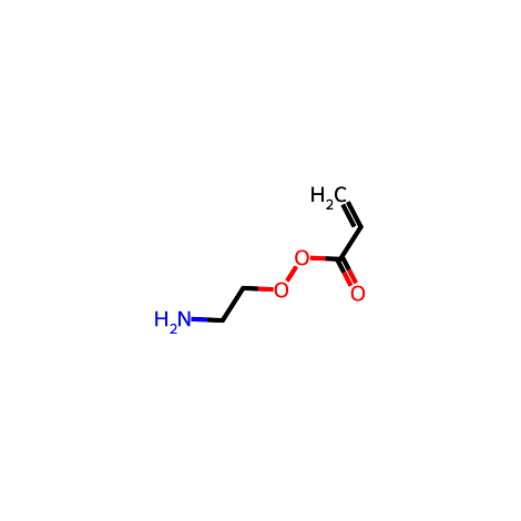 C=CC(=O)OOCCN